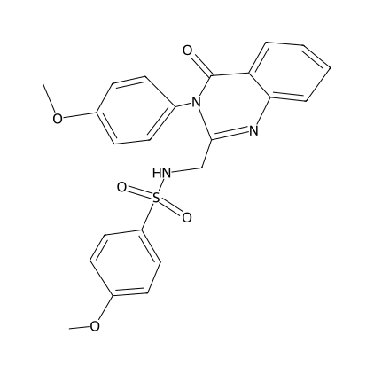 COc1ccc(-n2c(CNS(=O)(=O)c3ccc(OC)cc3)nc3ccccc3c2=O)cc1